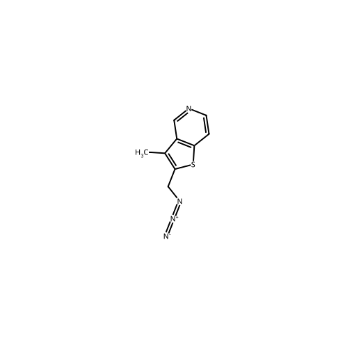 Cc1c(CN=[N+]=[N-])sc2ccncc12